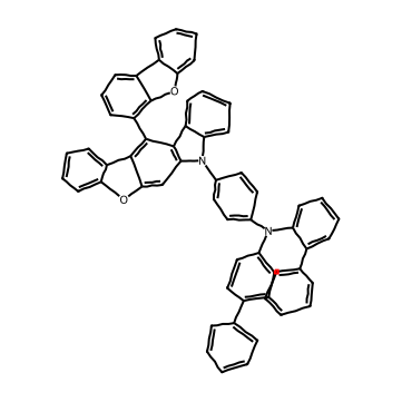 c1ccc(-c2ccc(N(c3ccc(-n4c5ccccc5c5c(-c6cccc7c6oc6ccccc67)c6c(cc54)oc4ccccc46)cc3)c3ccccc3-c3ccccc3)cc2)cc1